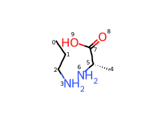 CCCN.C[C@H](N)C(=O)O